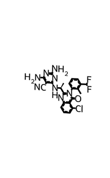 Cc1c(C(F)F)cccc1-n1c([C@H](C)Nc2nc(N)nc(N)c2C#N)nc2cccc(Cl)c2c1=O